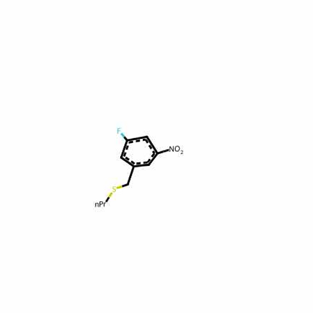 CCCSCc1cc(F)cc([N+](=O)[O-])c1